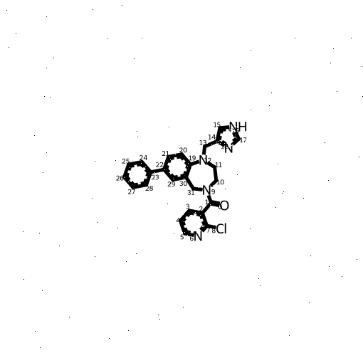 O=C(c1cccnc1Cl)N1CCN(Cc2c[nH]cn2)c2ccc(-c3ccccc3)cc2C1